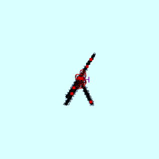 CCCCCCCCCCCCCCOC(=O)CC(O[PH](=O)OC(CC(=O)OCCCCCCCCCCCCCC)C(=O)OCCCCCCCCCCCCCC)C(=O)OCCCCCCCCCCCCCC